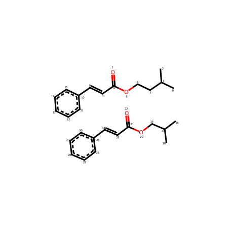 CC(C)CCOC(=O)/C=C/c1ccccc1.CC(C)COC(=O)C=Cc1ccccc1